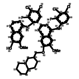 COc1cc2c(Nc3ccc(Cl)c(Cl)c3F)ncnc2cc1O.COc1cc2c(Nc3ccc(Cl)c(Cl)c3F)ncnc2cc1OCC1CCC2CCCCN2C1